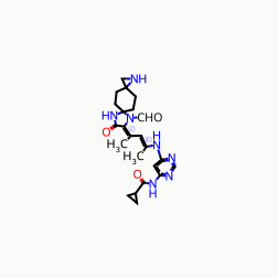 CC(/C=C(\C)Nc1cc(NC(=O)C2CC2)ncn1)=C1\C(=O)NC2(CCC3(CC2)CN3)N1C=O